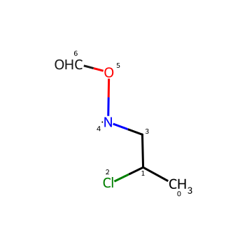 CC(Cl)C[N]OC=O